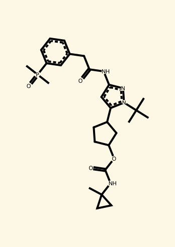 CC1(NC(=O)OC2CCC(c3cc(NC(=O)Cc4cccc(P(C)(C)=O)c4)nn3C(C)(C)C)C2)CC1